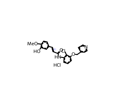 COc1ccc(/C=C/C(=O)Nc2cccc(OCc3ccncc3)c2Cl)cc1O.Cl